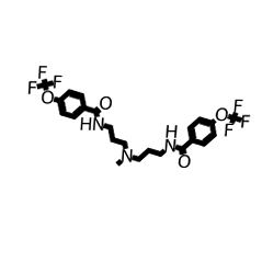 CN(CCCNC(=O)c1ccc(OC(F)(F)F)cc1)CCCNC(=O)c1ccc(OC(F)(F)F)cc1